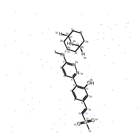 CN(c1ccc(-c2ccc(/C=C/S(C)(=O)=O)cc2O)nn1)[C@H]1C[C@H]2CCC[C@@H](C1)N2